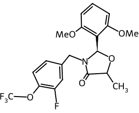 COc1cccc(OC)c1[C@H]1OC(C)C(=O)N1Cc1ccc(OC(F)(F)F)c(F)c1